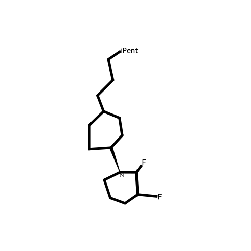 CCCC(C)CCCC1CCC([C@@H]2CCCC(F)C2F)CC1